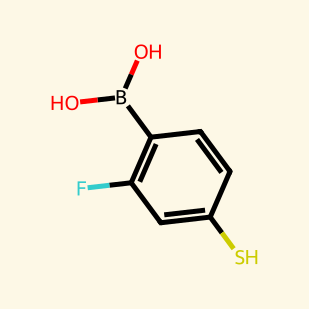 OB(O)c1ccc(S)cc1F